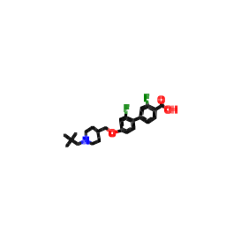 CC(C)(C)CN1CCC(COc2ccc(-c3ccc(C(=O)O)c(F)c3)c(F)c2)CC1